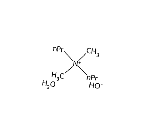 CCC[N+](C)(C)CCC.O.[OH-]